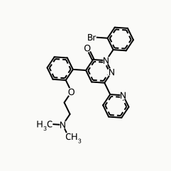 CN(C)CCOc1ccccc1-c1cc(-c2ccccn2)nn(-c2ccccc2Br)c1=O